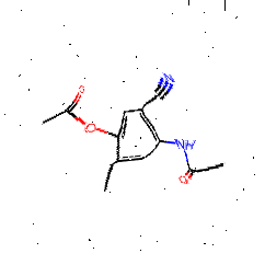 CC(=O)Nc1cc(C)c(OC(C)=O)cc1C#N